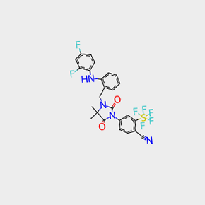 CC1(C)C(=O)N(c2ccc(C#N)c(S(F)(F)(F)(F)F)c2)C(=O)N1Cc1ccccc1Nc1ccc(F)cc1F